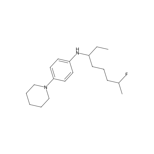 CCC(CCCC(C)F)Nc1ccc(N2CCCCC2)cc1